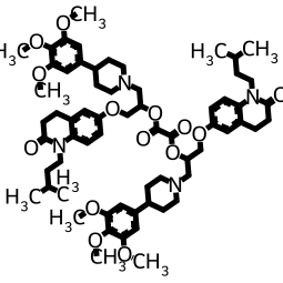 COc1cc(C2CCN(CC(COc3ccc4c(c3)CCC(=O)N4CCC(C)C)OC(=O)C(=O)OC(COc3ccc4c(c3)CCC(=O)N4CCC(C)C)CN3CCC(c4cc(OC)c(OC)c(OC)c4)CC3)CC2)cc(OC)c1OC